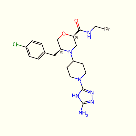 CC(C)CNC(=O)[C@H]1CN(C2CCN(c3nnc(N)[nH]3)CC2)[C@@H](Cc2ccc(Cl)cc2)CO1